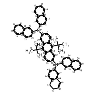 CC(C)(C)c1c2ccc(N(c3ccc4ccccc4c3)c3ccc4ccccc4c3)cc2c(C(C)(C)C)c2ccc(N(c3ccc4c(c3)C=CCC4)c3ccc4ccccc4c3)cc12